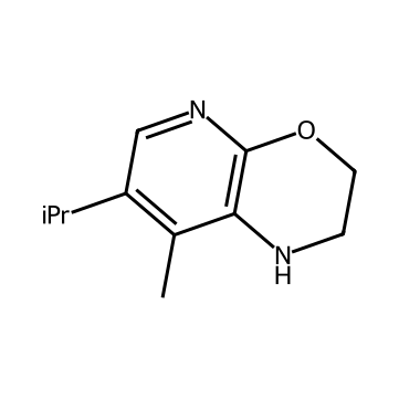 Cc1c(C(C)C)cnc2c1NCCO2